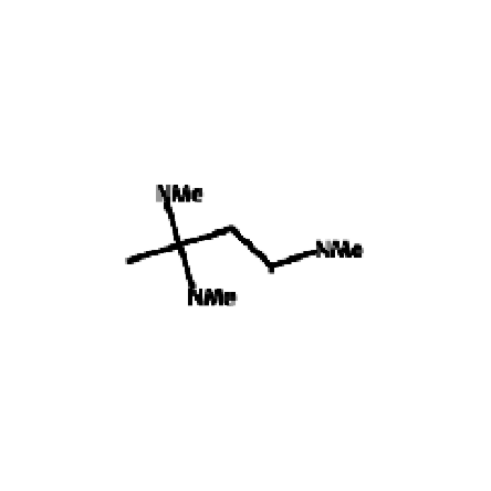 CN[CH]CC(C)(NC)NC